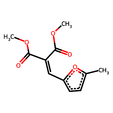 COC(=O)C(=Cc1ccc(C)o1)C(=O)OC